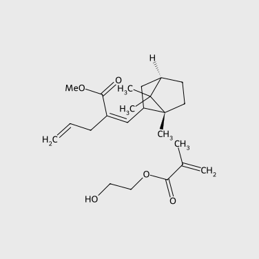 C=C(C)C(=O)OCCO.C=CCC(=CC1C[C@H]2CC[C@@]1(C)C2(C)C)C(=O)OC